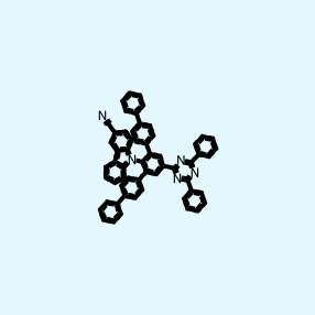 N#Cc1ccc2c(c1)c1ccccc1n2-c1c(-c2ccc(-c3ccccc3)cc2)cc(-c2nc(-c3ccccc3)nc(-c3ccccc3)n2)cc1-c1ccc(-c2ccccc2)cc1